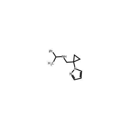 CC(C)C(C)NCC1(n2cccn2)CC1